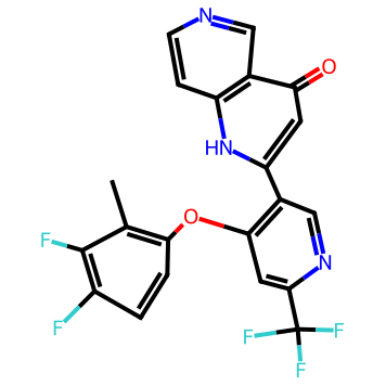 Cc1c(Oc2cc(C(F)(F)F)ncc2-c2cc(=O)c3cnccc3[nH]2)ccc(F)c1F